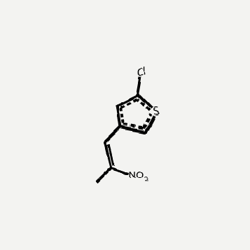 C/C(=C/c1csc(Cl)c1)[N+](=O)[O-]